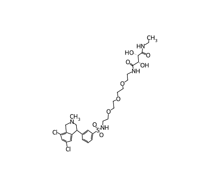 CCNC(=O)[C@@H](O)[C@H](O)C(=O)NCCOCCOCCOCCNS(=O)(=O)c1cccc(C2CN(C)Cc3c(Cl)cc(Cl)cc32)c1